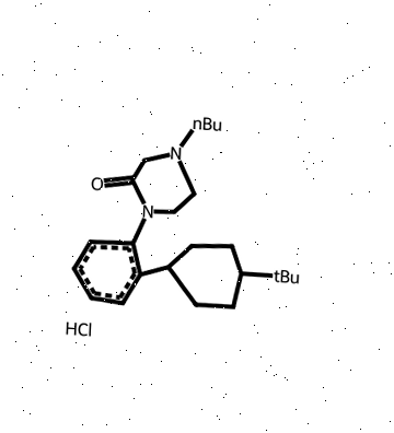 CCCCN1CCN(c2ccccc2C2CCC(C(C)(C)C)CC2)C(=O)C1.Cl